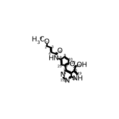 COC/C=C/C(=O)Nc1cccc(-c2ncnc3[nH]cc(C(=O)O)c23)c1